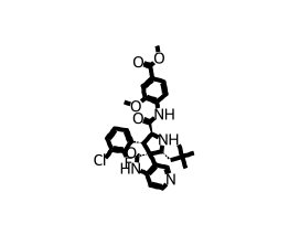 COC(=O)c1ccc(NC(=O)[C@H]2N[C@H](CC(C)(C)C)[C@]3(C(=O)Nc4ccncc43)[C@@H]2c2cccc(Cl)c2F)c(OC)c1